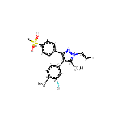 CC=Cn1nc(-c2ccc(S(C)(=O)=O)cc2)c(-c2ccc(OC)c(F)c2)c1C(=O)O